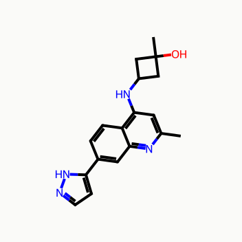 Cc1cc(NC2CC(C)(O)C2)c2ccc(-c3ccn[nH]3)cc2n1